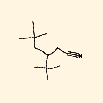 CC(C)(C)CC(CC#N)C(C)(C)C